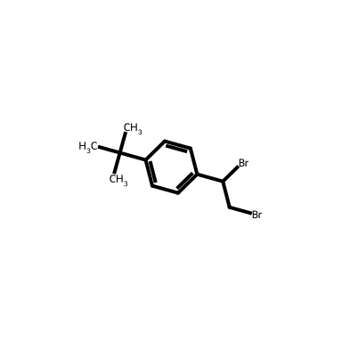 CC(C)(C)c1ccc(C(Br)CBr)cc1